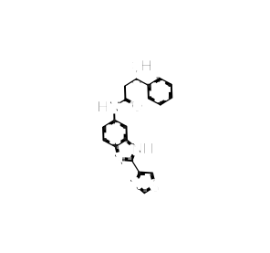 C[C@@H](CC(=O)Nc1ccc2nc(-c3cscn3)[nH]c2c1)c1ccccc1